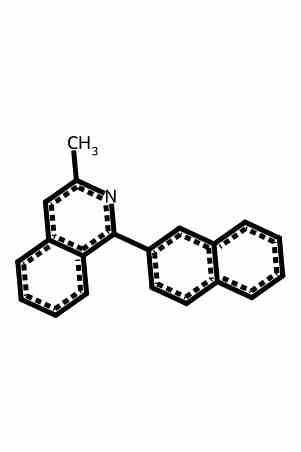 Cc1cc2ccccc2c(-c2ccc3ccccc3c2)n1